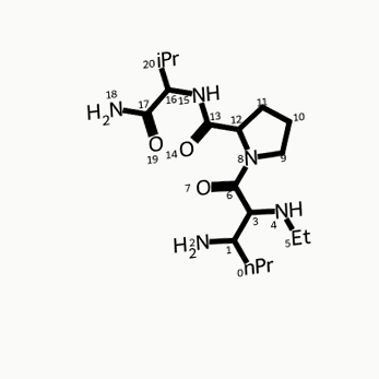 CCCC(N)C(NCC)C(=O)N1CCCC1C(=O)NC(C(N)=O)C(C)C